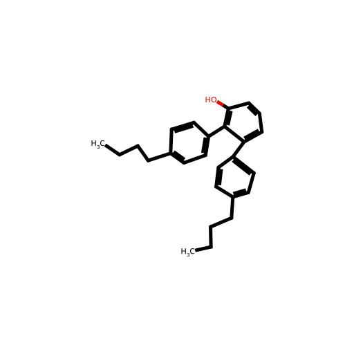 CCCCc1ccc(-c2cccc(O)c2-c2ccc(CCCC)cc2)cc1